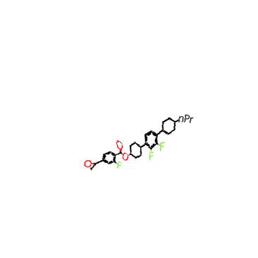 CCCC1CCC(c2ccc(C3CCC(OC(=O)c4ccc(C5CO5)cc4F)CC3)c(F)c2F)CC1